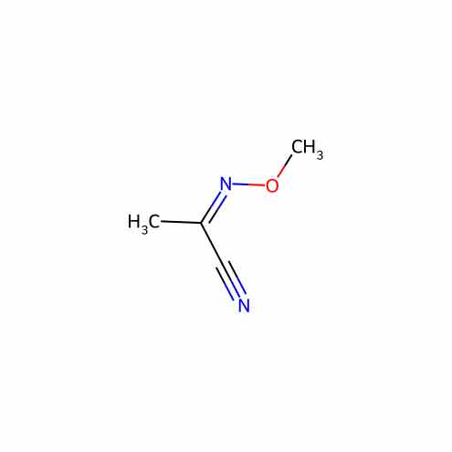 CON=C(C)C#N